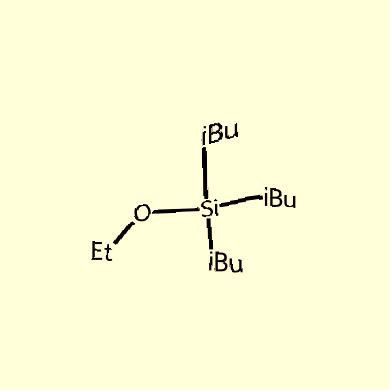 CCO[Si](C(C)CC)(C(C)CC)C(C)CC